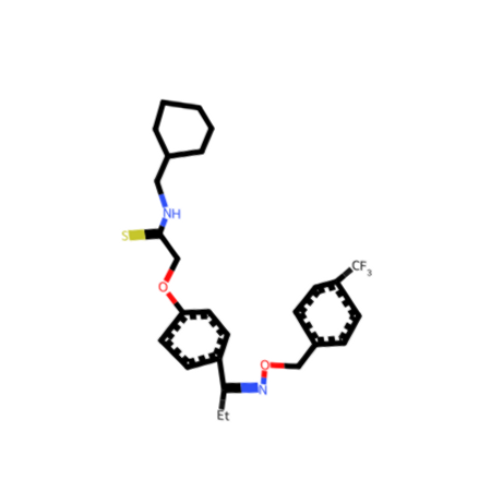 CCC(=NOCc1ccc(C(F)(F)F)cc1)c1ccc(OCC(=S)NCC2CCCCC2)cc1